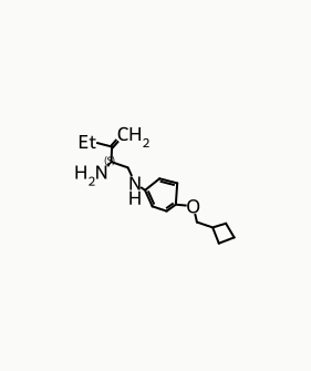 C=C(CC)[C@H](N)CNc1ccc(OCC2CCC2)cc1